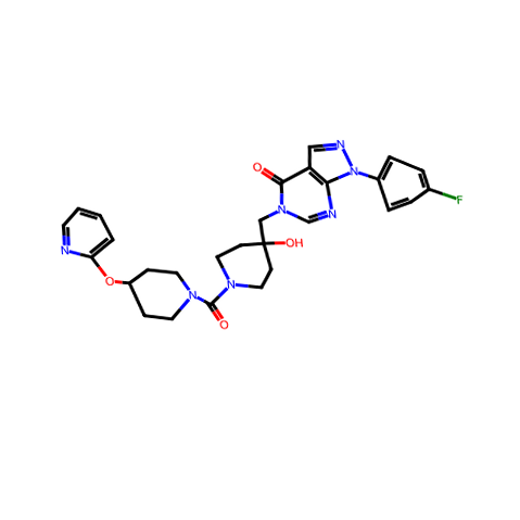 O=C(N1CCC(Oc2ccccn2)CC1)N1CCC(O)(Cn2cnc3c(cnn3-c3ccc(F)cc3)c2=O)CC1